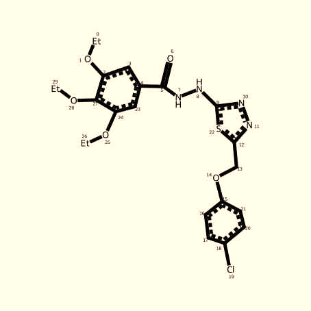 CCOc1cc(C(=O)NNc2nnc(COc3ccc(Cl)cc3)s2)cc(OCC)c1OCC